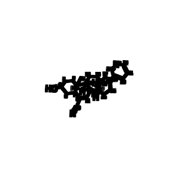 C[C@]12CCC(O)CC1C(C#N)=C[C@@H]1[C@H]2CC[C@]2(C)C(c3cccnc3)=CC[C@@H]12